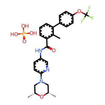 Cc1c(C(=O)Nc2ccc(N3C[C@@H](C)O[C@@H](C)C3)nc2)cccc1-c1ccc(OC(F)(F)F)cc1.O=P(O)(O)O